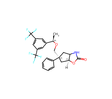 C[C@@H](OC[C@]1(c2ccccc2)CC2NC(=O)O[C@H]2C1)c1cc(C(F)(F)F)cc(C(F)(F)F)c1